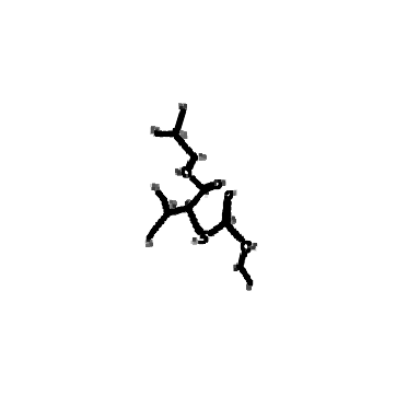 CCOC(=O)SC(C(=O)OCC(C)C)C(C)C